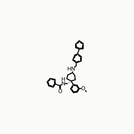 COc1cccc([C@]2(CNC(=O)c3ccccc3)CC[C@@H](NCc3ccc(-c4ccccc4)cc3)CC2)c1